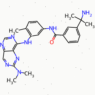 Cc1ccc(NC(=O)c2cccc(C(C)(C)N)c2)cc1Nc1ncnc2cnc(N(C)C)nc12